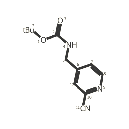 CC(C)(C)OC(=O)NCc1ccnc(C#N)c1